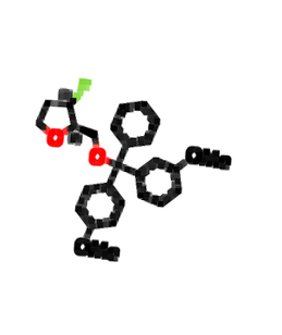 COc1ccc(C(OC[C@H]2OCC[C@H]2F)(c2ccccc2)c2cccc(OC)c2)cc1